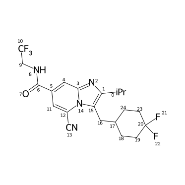 CC(C)c1nc2cc(C(=O)NCC(F)(F)F)cc(C#N)n2c1CC1CCC(F)(F)CC1